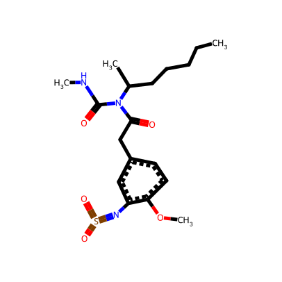 CCCCCC(C)N(C(=O)Cc1ccc(OC)c(N=S(=O)=O)c1)C(=O)NC